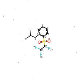 CC(C)Cc1ccccc1S(=O)(=O)C(F)C(F)F